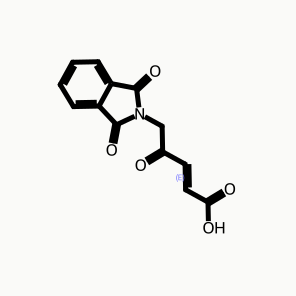 O=C(O)/C=C/C(=O)CN1C(=O)c2ccccc2C1=O